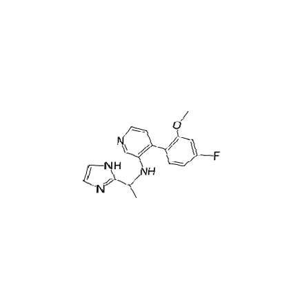 COc1cc(F)ccc1-c1ccncc1NC(C)c1ncc[nH]1